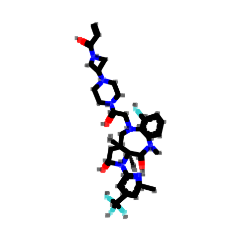 C=CC(=O)N1CC(N2CCN(C(=O)CN3C[C@H]4CC(=O)N(c5cc(C(F)(F)F)cc(C)n5)[C@@H]4C(=O)N(C)c4cccc(F)c43)CC2)C1